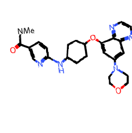 CNC(=O)c1ccc(NC2CCC(Oc3cc(N4CCOCC4)cc4nccnc34)CC2)nc1